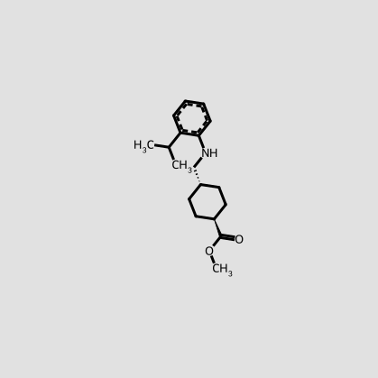 COC(=O)[C@H]1CC[C@H](CNc2ccccc2C(C)C)CC1